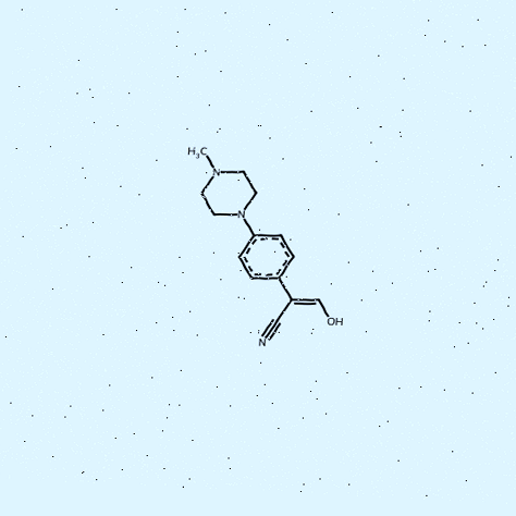 CN1CCN(c2ccc(C(C#N)=CO)cc2)CC1